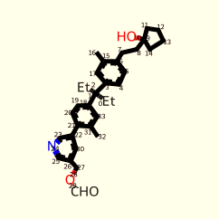 CCC(CC)(c1ccc(CCC2(O)CCCC2)c(C)c1)c1ccc(-c2cncc(COC=O)c2)c(C)c1